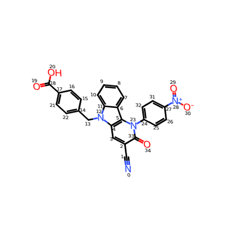 N#Cc1cc2c(c3ccccc3n2Cc2ccc(C(=O)O)cc2)n(-c2ccc([N+](=O)[O-])cc2)c1=O